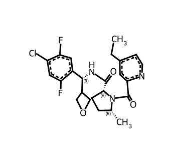 CCc1ccnc(C(=O)N2[C@H](C)CC[C@@H]2C(=O)N[C@@H](c2cc(F)c(Cl)cc2F)C2COC2)c1